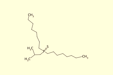 CCCCCCCCP(=S)(CCCCCCCC)CC(C)C